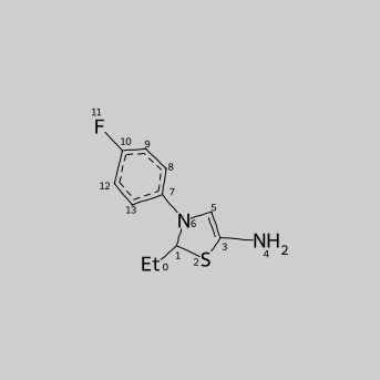 [CH2]CC1SC(N)=CN1c1ccc(F)cc1